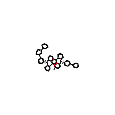 Cc1ccc(N(c2ccc(-c3ccccc3)cc2)c2ccccc2-c2ccc(-c3ccccc3N(c3ccccc3)c3cccc(-c4cccc(-c5ccccc5)c4)c3)cc2)cc1